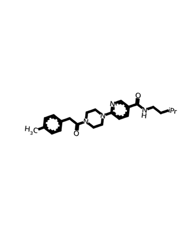 Cc1ccc(CC(=O)N2CCN(c3ccc(C(=O)NCCC(C)C)cn3)CC2)cc1